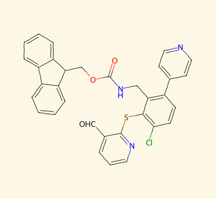 O=Cc1cccnc1Sc1c(Cl)ccc(-c2ccncc2)c1CNC(=O)OCC1c2ccccc2-c2ccccc21